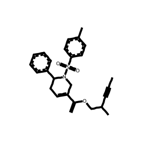 C=C(OCC(C)C#CC)C1=CCC(c2ccccc2)N(S(=O)(=O)c2ccc(C)cc2)C1